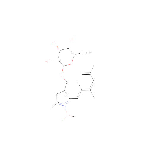 C=C(C)/C=C(C)\C(C)=C\c1c(CO[C@@H]2O[C@H](C(=O)O)[C@@H](O)[C@H](O)[C@H]2O)cc(C)n1B(C)F